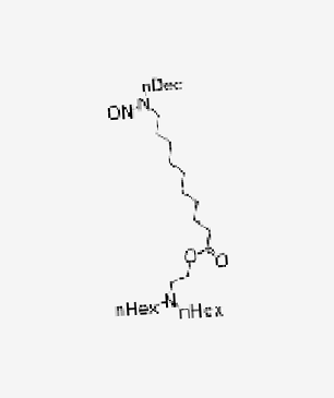 CCCCCCCCCCN(CCCCCCCCCC(=O)OCCN(CCCCCC)CCCCCC)N=O